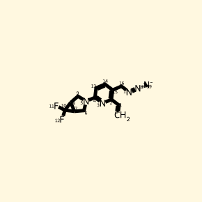 C=Cc1nc(N2CC3C(C2)C3(F)F)ccc1CN=[N+]=[N-]